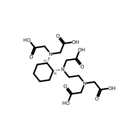 O=C(O)CN(CCN(CC(=O)O)[C@@H]1CCCC[C@@H]1N(CC(=O)O)CC(=O)O)CC(=O)O